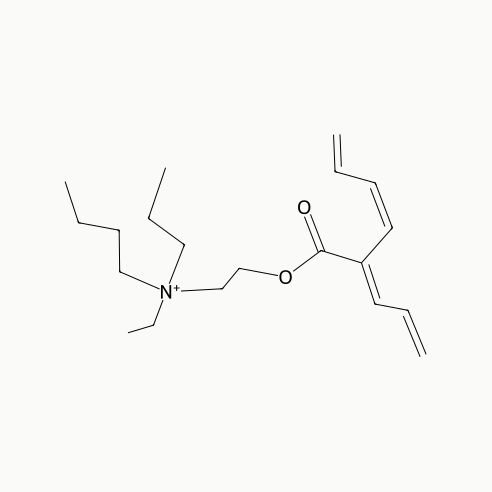 C=C/C=C\C(=C/C=C)C(=O)OCC[N+](CC)(CCC)CCCC